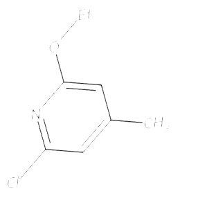 CCOc1cc(C)cc(Cl)n1